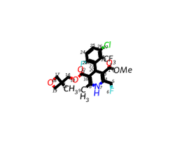 COC(=O)C1=C(CF)NC(C)=C(C(=O)OCC2(C)COC2)C1c1c(F)ccc(Cl)c1C(F)(F)F